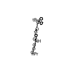 CCCOCCOCCOCCNC(=O)Cc1ccc(SSCOCCCCOC(c2ccccc2)(c2ccccc2)C(C)(C)C)cc1